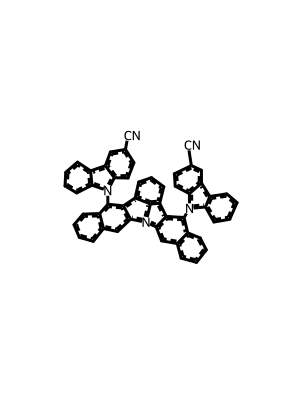 N#Cc1ccc2c(c1)c1ccccc1n2-c1c2ccccc2cc2c1c1cccc3c4c(-n5c6ccccc6c6cc(C#N)ccc65)c5ccccc5cc4n2c13